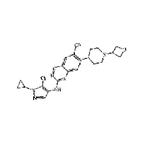 N#Cc1cc2cnc(Nc3cnn(C4CC4)c3Cl)nc2cc1C1CCN(C2COC2)CC1